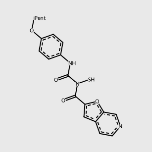 CCCC(C)Oc1ccc(NC(=O)N(S)C(=O)c2cc3ccncc3o2)cc1